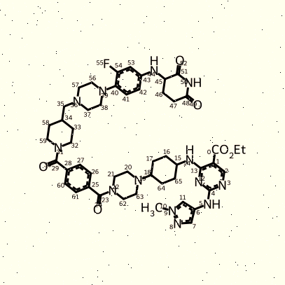 CCOC(=O)c1cnc(Nc2cnn(C)c2)nc1NC1CCC(N2CCN(C(=O)c3ccc(C(=O)N4CCC(CN5CCN(c6ccc(NC7CCC(=O)NC7=O)cc6F)CC5)CC4)cc3)CC2)CC1